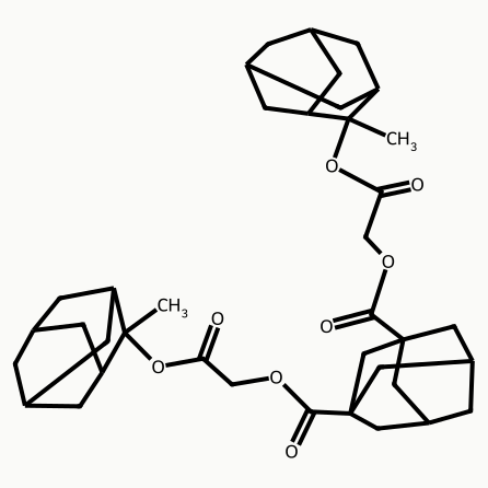 CC1(OC(=O)COC(=O)C23CC4CC(C2)CC(C(=O)OCC(=O)OC2(C)C5CC6CC(C5)CC2C6)(C4)C3)C2CC3CC(C2)CC1C3